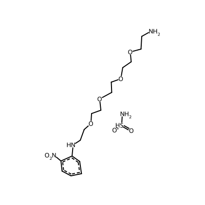 NCCOCCOCCOCCOCCNc1ccccc1[N+](=O)[O-].N[SH](=O)=O